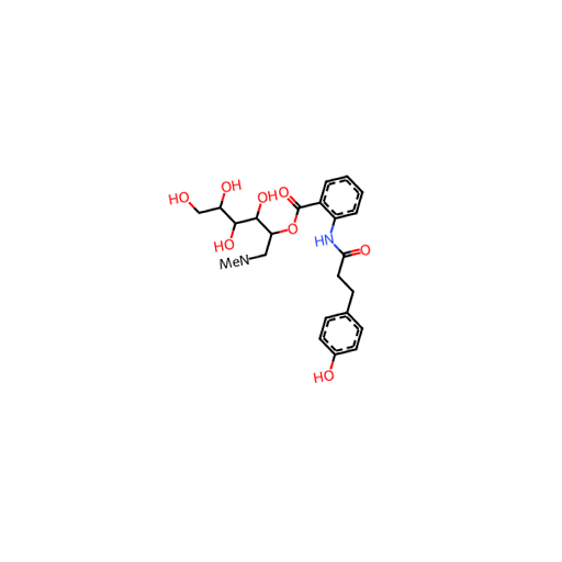 CNCC(OC(=O)c1ccccc1NC(=O)CCc1ccc(O)cc1)C(O)C(O)C(O)CO